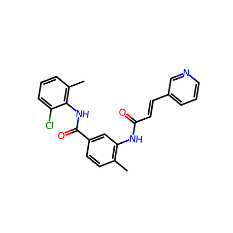 Cc1ccc(C(=O)Nc2c(C)cccc2Cl)cc1NC(=O)/C=C/c1cccnc1